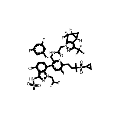 CC(C)(CCc1nc([C@H](Cc2cc(F)cc(F)c2)NC(=O)Cn2nc(C(F)(F)F)c3c2C(F)(F)[C@@H]2C[C@H]32)c(-c2ccc(Cl)c3c(NS(C)(=O)=O)nn(CC(F)F)c23)cc1I)S(=O)(=O)C1CC1